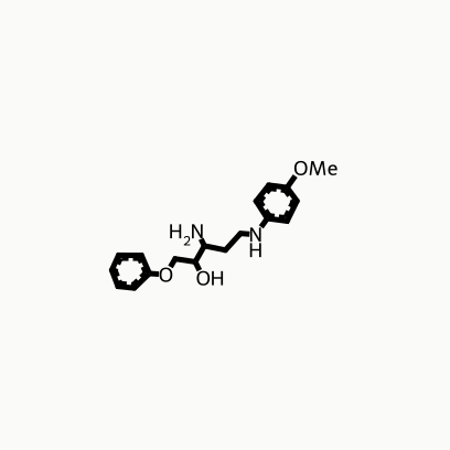 COc1ccc(NCCC(N)C(O)COc2ccccc2)cc1